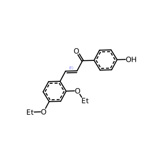 CCOc1ccc(/C=C/C(=O)c2ccc(O)cc2)c(OCC)c1